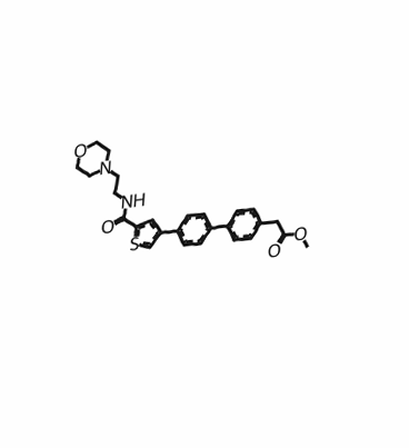 COC(=O)Cc1ccc(-c2ccc(-c3csc(C(=O)NCCN4CCOCC4)c3)cc2)cc1